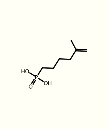 C=C(C)CCCCP(=O)(O)O